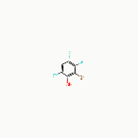 Oc1c(F)cc(F)c(F)c1Br